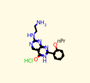 CCCOc1ccccc1-c1nc2nc(NCCN)ncc2c(=O)[nH]1.Cl